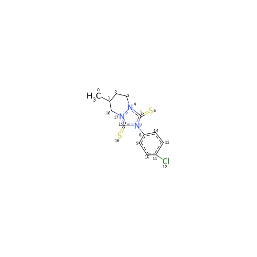 CC1CCn2c(=S)n(-c3ccc(Cl)cc3)c(=S)n2C1